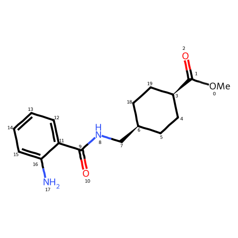 COC(=O)[C@H]1CC[C@@H](CNC(=O)c2ccccc2N)CC1